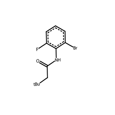 CC(C)(C)CC(=O)Nc1c(F)cccc1Br